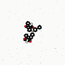 c1ccc(-c2ccc(N(c3ccc4c(c3)C3(c5ccccc5Oc5ccccc53)c3ccccc3-4)c3ccc4ccc5c(c4c3)-c3ccccc3C53c4ccccc4Oc4ccccc43)cc2)cc1